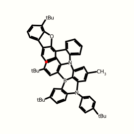 Cc1cc2c3c(c1)N(c1ccccc1-c1cccc4c1oc1c(C(C)(C)C)cccc14)c1ccc(C(C)(C)C)cc1B3c1cc(C(C)(C)C)ccc1N2c1ccc(C(C)(C)C)cc1